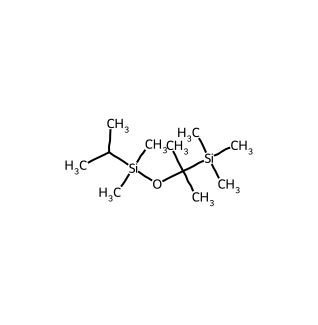 CC(C)[Si](C)(C)OC(C)(C)[Si](C)(C)C